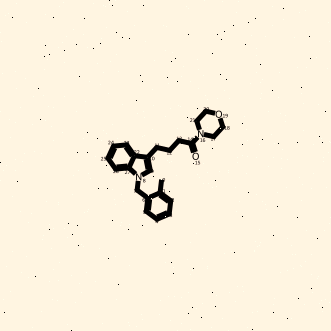 Cc1ccccc1Cn1cc(CCCC(=O)N2CCOCC2)c2ccccc21